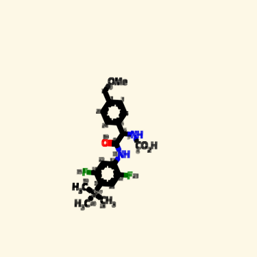 COCc1ccc(C(NC(=O)O)C(=O)Nc2cc(F)c([Si](C)(C)C)cc2F)cc1